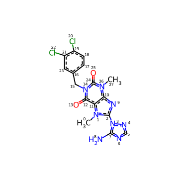 Cn1c(-n2ncnc2N)nc2c1c(=O)n(Cc1ccc(Cl)c(Cl)c1)c(=O)n2C